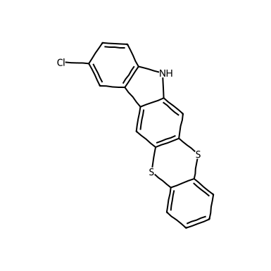 Clc1ccc2[nH]c3cc4c(cc3c2c1)Sc1ccccc1S4